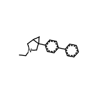 CCN1CC2CC2(c2ccc(-c3ccccc3)cc2)C1